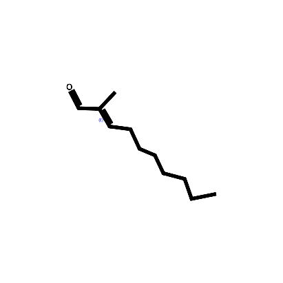 CCCCCCC/C=C(\C)C=O